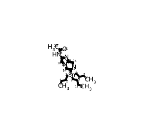 CCC[CH2][Sn]([CH2]CCC)([CH2]CCC)[c]1cn2cc(NC(C)=O)nc2cn1